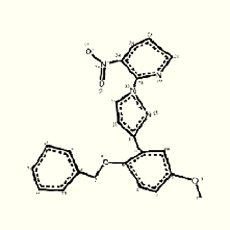 COc1ccc(OCc2ccccc2)c(-c2ccn(-c3ncccc3[N+](=O)[O-])n2)c1